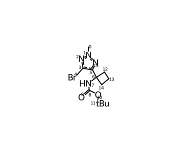 Cn1nc(Br)c(C2(NC(=O)OC(C)(C)C)CCC2)n1